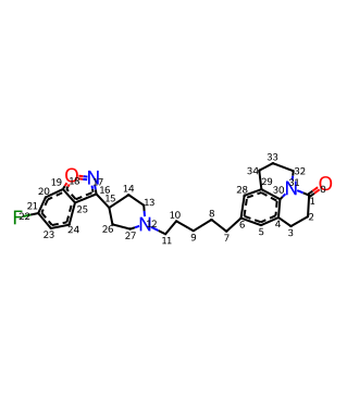 O=C1CCc2cc(CCCCCN3CCC(c4noc5cc(F)ccc45)CC3)cc3c2N1CCC3